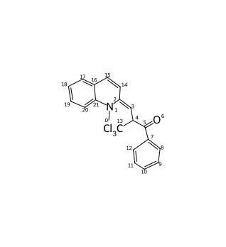 CN1C(=CC(C(=O)c2ccccc2)C(Cl)(Cl)Cl)C=Cc2ccccc21